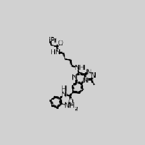 Cc1nnc2c(NCCCCNC(=O)CC(C)C)nc3cc(C(=O)Nc4ccccc4N)ccc3n12